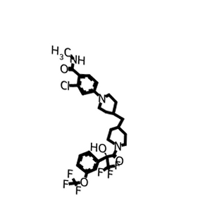 CNC(=O)c1ccc(N2CCC(CC3CCN(C(=O)[C@](O)(c4cccc(OC(F)(F)F)c4)C(F)(F)F)CC3)CC2)cc1Cl